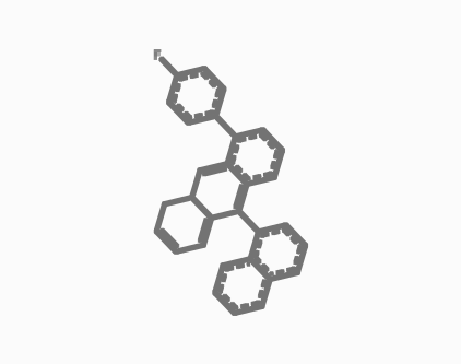 Fc1ccc(-c2cccc3c2=CC2CC=CC=C2C=3c2cccc3ccccc23)cc1